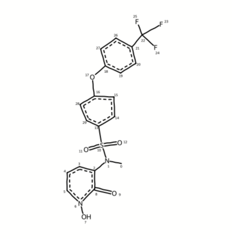 CN(c1cccn(O)c1=O)S(=O)(=O)c1ccc(Oc2ccc(C(F)(F)F)cc2)cc1